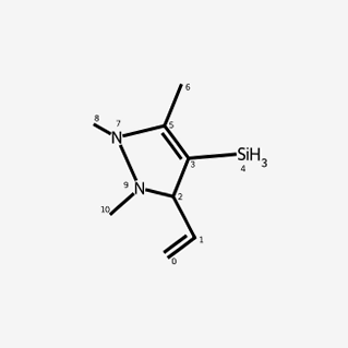 C=CC1C([SiH3])=C(C)N(C)N1C